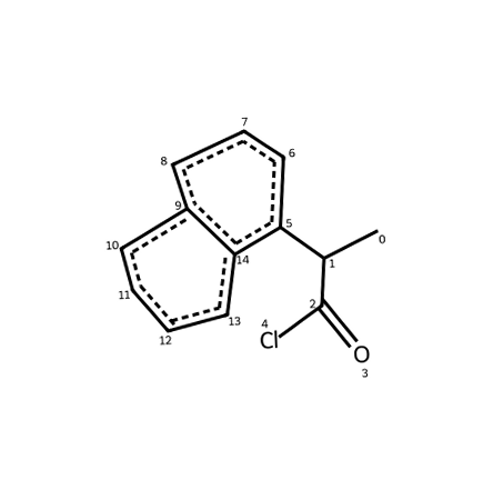 CC(C(=O)Cl)c1cccc2ccccc12